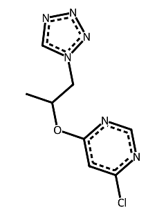 CC(Cn1cnnn1)Oc1cc(Cl)ncn1